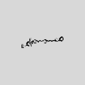 FC(F)(COCCCCCOCCCCCCOCc1ccccc1)c1ccc(Br)cn1